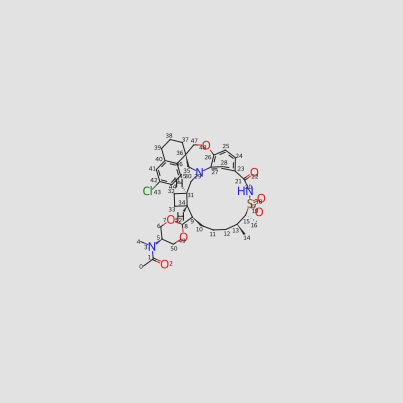 CC(=O)N(C)[C@H]1CO[C@@H]([C@@H]2CCC[C@H](C)[C@@H](C)S(=O)(=O)NC(=O)c3ccc4c(c3)N(C[C@@H]3CC[C@H]32)C[C@@]2(CCCc3cc(Cl)ccc32)CO4)OC1